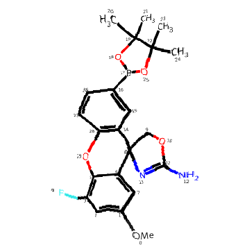 COc1cc(F)c2c(c1)C1(COC(N)=N1)c1cc(B3OC(C)(C)C(C)(C)O3)ccc1O2